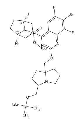 CC(C)(C)OC(=O)N1[C@@H]2CC[C@H]1CN(c1nc(OCC34CCCN3C(CO[Si](C)(C)C(C)(C)C)CC4)nc3c(F)c(Br)c(F)cc13)C2